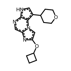 c1[nH]c2ncc3nc(OC4CCC4)cn3c2c1C1CCOCC1